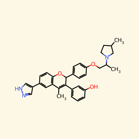 CC1=C(c2cccc(O)c2)C(c2ccc(OCC(C)N3CCC(C)C3)cc2)Oc2ccc(-c3cn[nH]c3)cc21